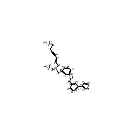 CCCC#CC=CCN(CC)Cc1cccc(OCc2cccc(-c3ccsc3)c2)c1